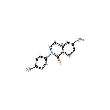 COc1ccc2c(=O)n(-c3ccc([N+](=O)[O-])cc3)ccc2c1